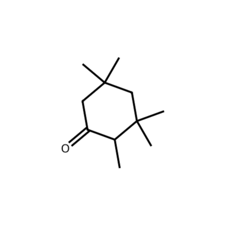 CC1C(=O)CC(C)(C)CC1(C)C